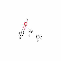 [Ce].[Fe].[O]=[W]